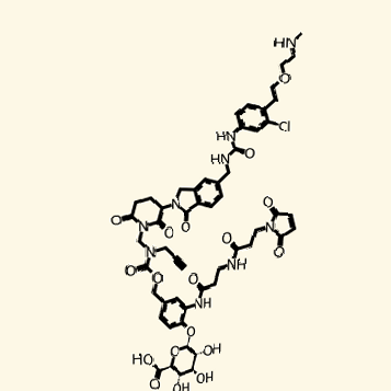 C#CCN(CN1C(=O)CCC(N2Cc3cc(CNC(=O)Nc4ccc(CCOCCNC)c(Cl)c4)ccc3C2=O)C1=O)C(=O)OCc1ccc(O[C@@H]2O[C@H](C(=O)O)[C@@H](O)[C@H](O)[C@H]2O)c(NC(=O)CCNC(=O)CCN2C(=O)C=CC2=O)c1